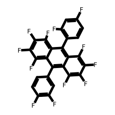 Fc1ccc(-c2c3c(F)c(F)c(F)c(F)c3c(-c3ccc(F)c(F)c3)c3c(F)c(F)c(F)c(F)c23)c(F)c1